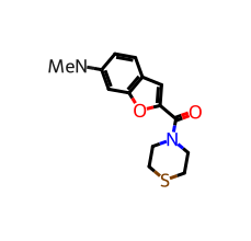 CNc1ccc2cc(C(=O)N3CCSCC3)oc2c1